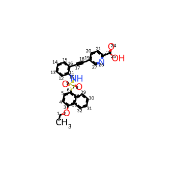 CCOc1ccc(S(=O)(=O)Nc2ccccc2C#Cc2ccc(C(=O)O)nc2)c2ccccc12